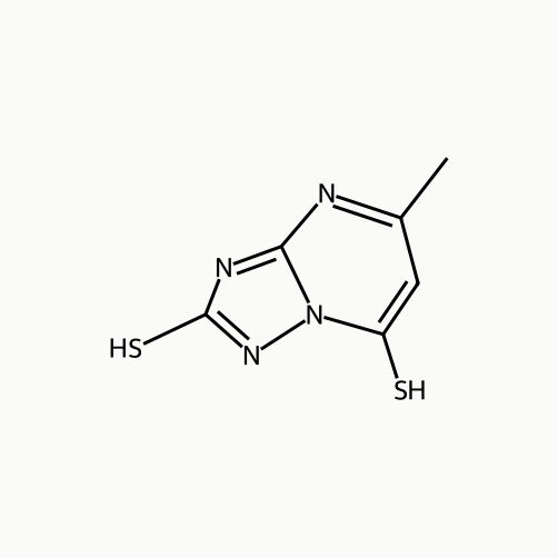 Cc1cc(S)n2nc(S)nc2n1